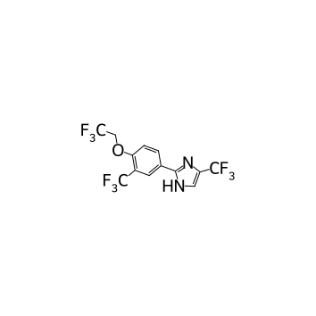 FC(F)(F)COc1ccc(-c2nc(C(F)(F)F)c[nH]2)cc1C(F)(F)F